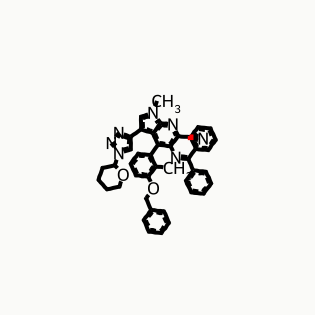 Cc1c(OCc2ccccc2)cccc1-c1c(N=C(c2ccccc2)c2ccccc2)c(C#N)nc2c1c(-c1cn(C3CCCCO3)nn1)cn2C